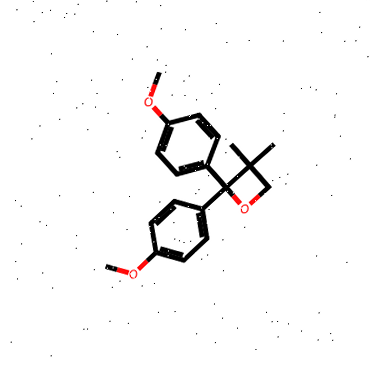 COc1ccc(C2(c3ccc(OC)cc3)OCC2(C)C)cc1